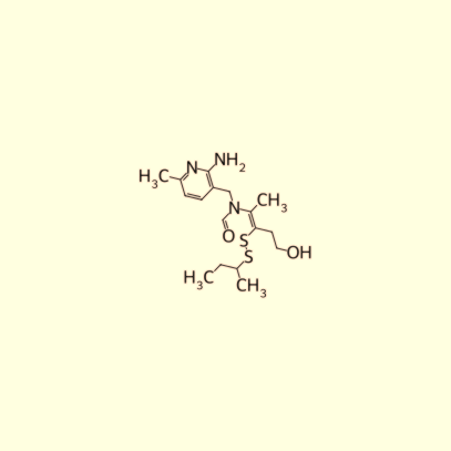 CCC(C)SS/C(CCO)=C(/C)N(C=O)Cc1ccc(C)nc1N